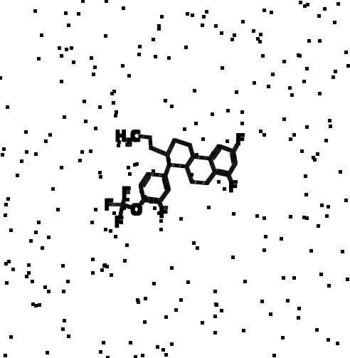 CCCC1CCC2c3cc(F)cc(F)c3CCC2C1c1ccc(OC(F)(F)F)c(F)c1